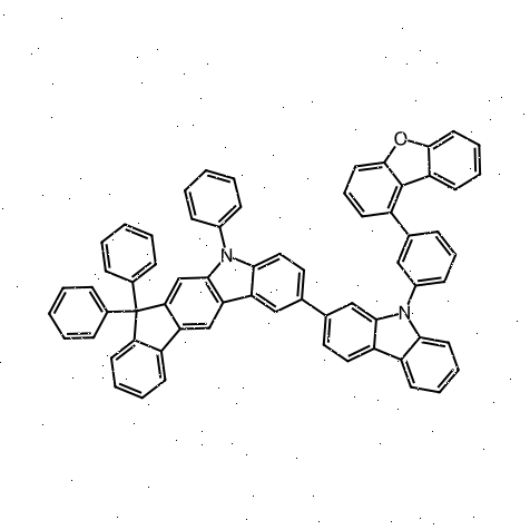 c1ccc(-n2c3ccc(-c4ccc5c6ccccc6n(-c6cccc(-c7cccc8oc9ccccc9c78)c6)c5c4)cc3c3cc4c(cc32)C(c2ccccc2)(c2ccccc2)c2ccccc2-4)cc1